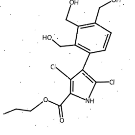 CCCOC(=O)c1[nH]c(Cl)c(-c2ccc(CO)c(CO)c2CO)c1Cl